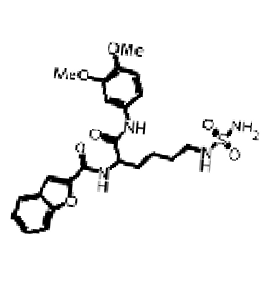 COc1ccc(NC(=O)C(CCCCNS(N)(=O)=O)NC(=O)c2cc3ccccc3o2)cc1OC